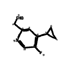 O=CCc1cc(C2CC2)c(F)cn1